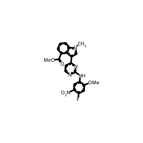 COC(=O)c1cccc2c1c(-c1ccnc(Nc3cc([N+](=O)[O-])c(F)cc3OC)n1)cn2C